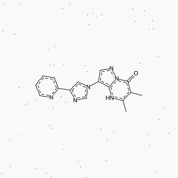 Cc1[nH]c2c(-n3cnc(-c4ccccn4)c3)cnn2c(=O)c1C